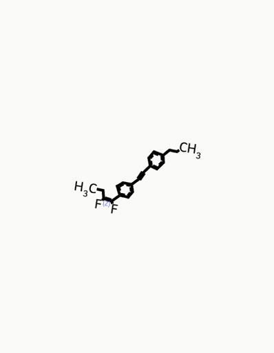 CCCc1ccc(C#Cc2ccc(/C(F)=C(/F)CC)cc2)cc1